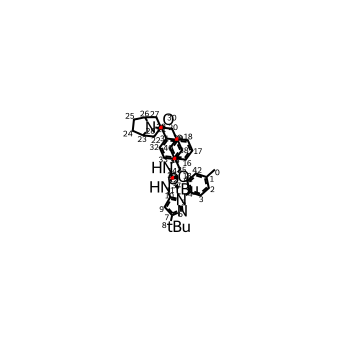 Cc1ccc(-n2nc(C(C)(C)C)cc2NC(=O)Nc2cccc(CC3CC4CCC(C3)N4C(=O)c3ccc(COC(C)(C)C)cc3)c2)cc1